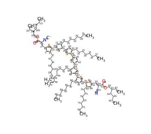 [C-]#[N+]/C(=C\c1cc(CCCCCCCC)c(-c2cc(CCCCCCCC)c(-c3cc(CCCCCCCC)c(-c4ccc(-c5sc(-c6sc(-c7sc(/C=C(\C#N)C(=O)OCC(CC)CCCC)cc7CCCCCCCC)cc6CCCCCCCC)cc5CCCCCCCC)s4)s3)s2)s1)C(=O)OCC(CC)CCCC